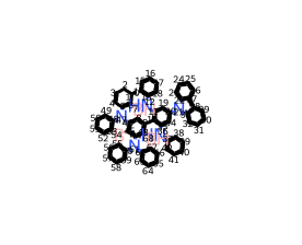 CC1CC=CC2=C1Bc1c(-c3c(Nc4ccccc4)cc(-n4c5ccccc5c5ccccc54)cc3Nc3ccccc3)c3c4c5c1N2c1ccccc1B5c1ccccc1N4c1ccccc1B3